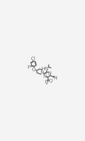 COC(=O)c1nc(N2CCC(Oc3ccc(Cl)cc3F)CC2)c(NC(C)C)nc1C#N